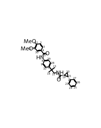 COc1ccc(C(=O)Nc2ccc(C(C)(C)CNC(=O)[C@H]3C[C@@H]3c3ccccc3)cc2)cc1OC